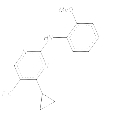 COc1c[c]ccc1Nc1ncc(C(F)(F)F)c(C2CC2)n1